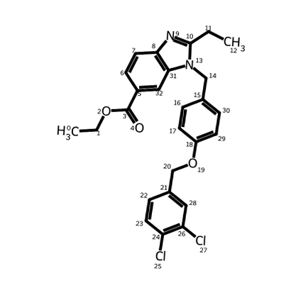 CCOC(=O)c1ccc2nc(CC)n(Cc3ccc(OCc4ccc(Cl)c(Cl)c4)cc3)c2c1